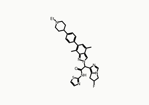 CCN1CCC(c2ccc(-c3cc(C)c4cn(C(C(=O)Nc5nccs5)c5ncn6c5CC(F)C6)nc4c3C)cc2)CC1